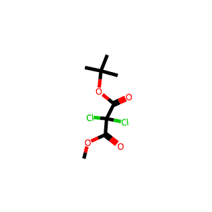 COC(=O)C(Cl)(Cl)C(=O)OC(C)(C)C